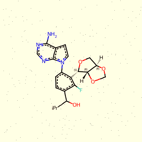 CC(C)C(O)c1ccc(-n2ccc3c(N)ncnc32)c([C@@H]2OC[C@H]3OCO[C@@H]32)c1F